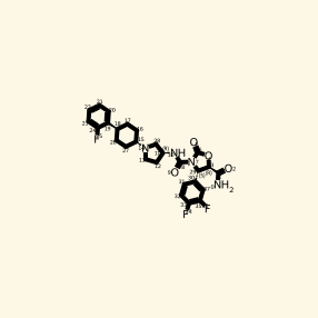 NC(=O)[C@@H]1OC(=O)N(C(=O)N[C@@H]2CCN([C@H]3CC[C@H](c4ccccc4F)CC3)C2)[C@H]1c1ccc(F)c(F)c1